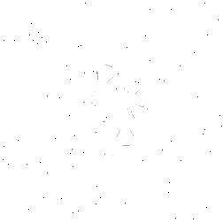 COc1ccc(-c2nc(C(=O)NCc3cccc(O[C@@H]4C[C@H]5CC[C@@H](C4)N5C)c3)no2)cc1